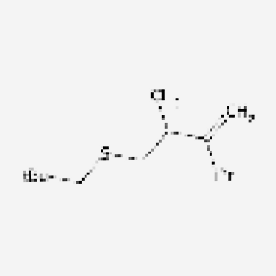 C=C(C(C)C)C(C)CSCC(C)(C)C